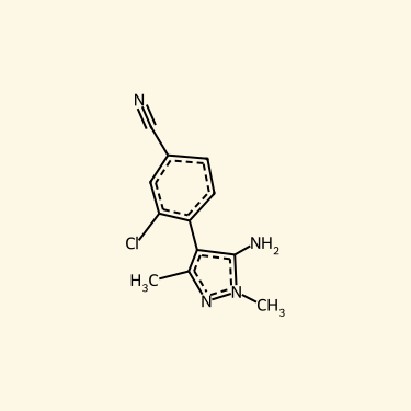 Cc1nn(C)c(N)c1-c1ccc(C#N)cc1Cl